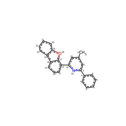 Cc1cc(-c2ccccc2)nc(-c2cccc3c2oc2ccccc23)c1